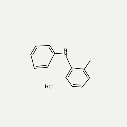 Cl.Ic1ccccc1Nc1ccccc1